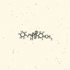 Cc1ccc(S(=O)(=O)ONCCc2ccccc2)cc1